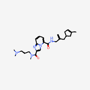 C=C(CNC(=O)c1cccc2nc(C(=O)N(C)CCCN(C)C)cn12)CC1CC=C(C)C1